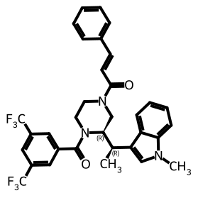 C[C@H](c1cn(C)c2ccccc12)[C@@H]1CN(C(=O)C=Cc2ccccc2)CCN1C(=O)c1cc(C(F)(F)F)cc(C(F)(F)F)c1